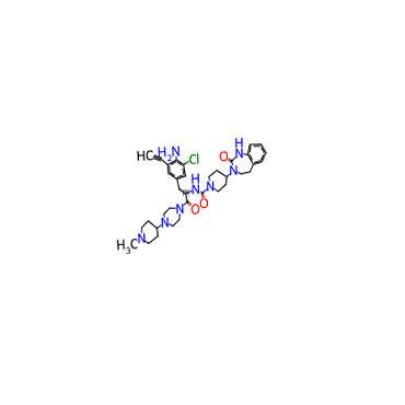 C#Cc1cc(C[C@@H](NC(=O)N2CCC(N3CCc4ccccc4NC3=O)CC2)C(=O)N2CCN(C3CCN(C)CC3)CC2)cc(Cl)c1N